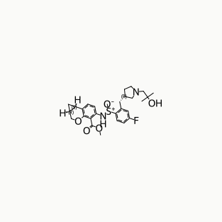 COC(=O)c1c(N[S+]([O-])c2ccc(F)cc2C[C@@H]2CCN(CC(C)(C)O)C2)ccc2c1OC[C@@H]1C[C@H]21